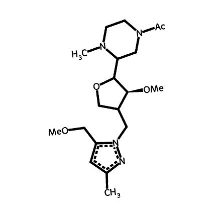 COCc1cc(C)nn1CC1COC(C2CN(C(C)=O)CCN2C)[C@H]1OC